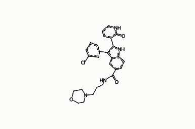 O=C(NCCCN1CCOCC1)c1ccc2[nH]c(-c3ccc[nH]c3=O)c(-c3cccc(Cl)c3)c2c1